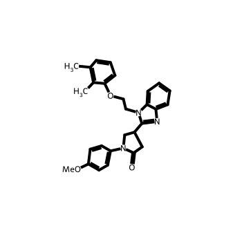 COc1ccc(N2CC(c3nc4ccccc4n3CCOc3cccc(C)c3C)CC2=O)cc1